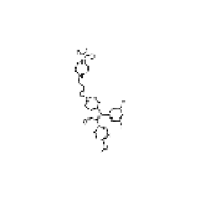 COc1ccc(C2=C(c3cc(F)cc(F)c3)c3ccc(OCCN4CCN(S(C)(=O)=O)CC4)cc3C2=O)cn1